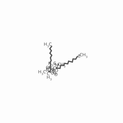 CCCCCCCCCCCCC(C)(OS(=O)(=O)OC(C)(CCCCCCCCCCCC)N(C)C)N(C)C